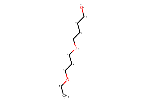 CCOCCCOCCCC[O]